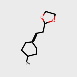 CC(C)C1CCC(=CCC2OCCO2)CC1